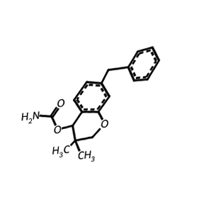 CC1(C)COc2cc(Cc3ccccc3)ccc2C1OC(N)=O